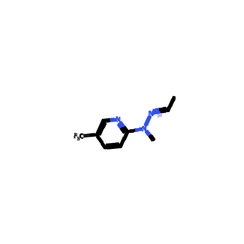 C/C=N/N(C)c1ccc(C(F)(F)F)cn1